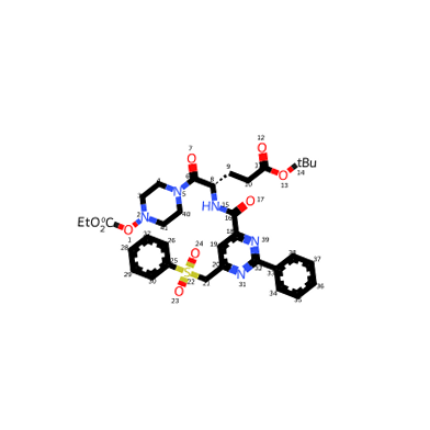 CCOC(=O)ON1CCN(C(=O)[C@H](CCC(=O)OC(C)(C)C)NC(=O)c2cc(CS(=O)(=O)c3ccccc3)nc(-c3ccccc3)n2)CC1